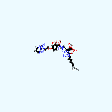 CCCCCCNC(=O)N[C@@H](CNC(=O)c1ccc(OCCNC2=NCCCN2)cc1O)C(=O)O